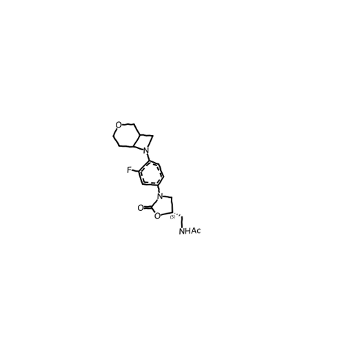 CC(=O)NC[C@H]1CN(c2ccc(N3CC4COCCC43)c(F)c2)C(=O)O1